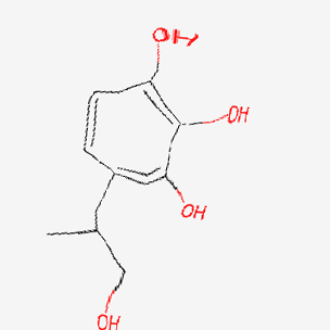 CC(CO)c1ccc(O)c(O)c1O